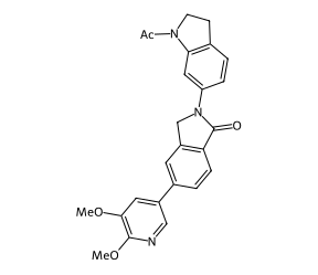 COc1cc(-c2ccc3c(c2)CN(c2ccc4c(c2)N(C(C)=O)CC4)C3=O)cnc1OC